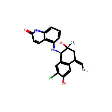 C/C=C1/C[C@](O)(C(F)(F)F)[C@H](Nc2cccc3[nH]c(=O)ccc23)c2cc(F)c(O)cc21